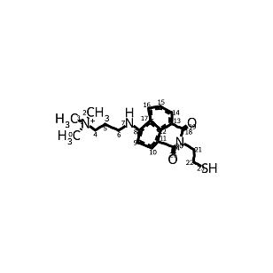 C[N+](C)(C)CCCNc1ccc2c3c(cccc13)C(=O)N(CCS)C2=O